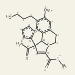 COc1cc2c(cc1CCCO)C1N(CC2)C(C(=O)OC(C)(C)C)=CC1(C(N)=O)c1cccs1